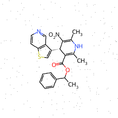 CC1=C(C(=O)OC(C)c2ccccc2)[C@H](c2csc3ccncc23)C([N+](=O)[O-])=C(C)N1